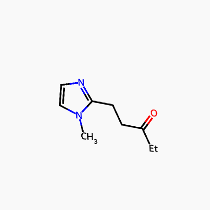 CCC(=O)CCc1nccn1C